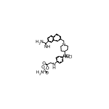 Cl.Cl.N=C(N)c1ccc2ccc(CN3CCC(Oc4ccc(NCC(=O)OS(N)(=O)=O)cc4)CC3)cc2c1